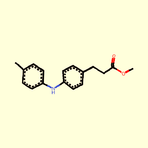 COC(=O)CCc1ccc(Nc2ccc(C)cc2)cc1